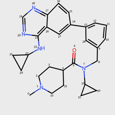 CN1CCC(C(=O)N(Cc2cccc(-c3ccc4ncnc(NC5CC5)c4c3)c2)C2CC2)CC1